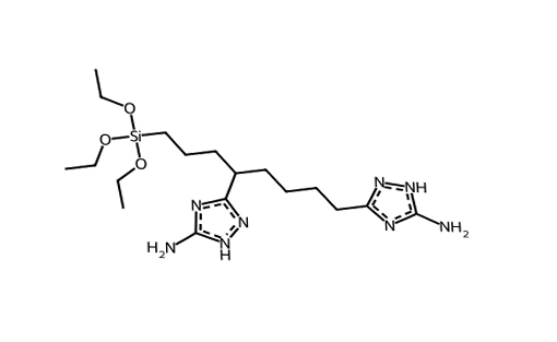 CCO[Si](CCCC(CCCCc1n[nH]c(N)n1)c1n[nH]c(N)n1)(OCC)OCC